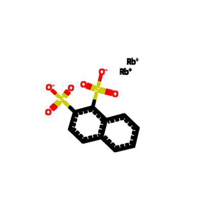 O=S(=O)([O-])c1ccc2ccccc2c1S(=O)(=O)[O-].[Rb+].[Rb+]